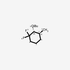 CC(C)CO[C@@H]1[C@@H](C)CCCC1(F)F